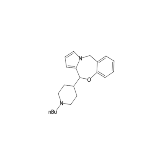 CCCCN1CCC(C2Oc3ccccc3Cn3cccc32)CC1